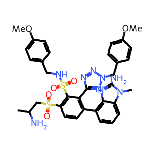 COc1ccc(CNS(=O)(=O)c2c(S(=O)(=O)CC(C)N)ccc(-c3cccc4c3nc(N)n4C)c2-c2nnn(Cc3ccc(OC)cc3)n2)cc1